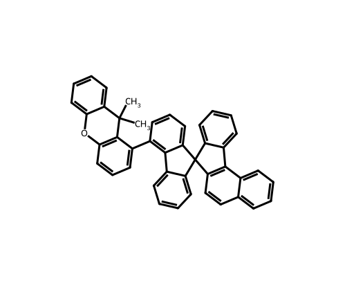 CC1(C)c2ccccc2Oc2cccc(-c3cccc4c3-c3ccccc3C43c4ccccc4-c4c3ccc3ccccc43)c21